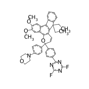 CCC1(CC)c2ccccc2-c2c1c1c(c3cc(OC)c(OC)cc23)OC(c2ccc(-c3nc(F)nc(F)n3)cc2)(c2ccc(N3CCOCC3)cc2)C=C1